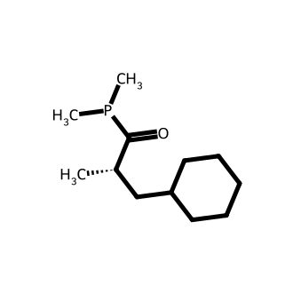 C[C@@H](CC1CCCCC1)C(=O)P(C)C